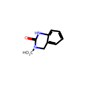 O=C(O)N1Cc2ccccc2NC1=O